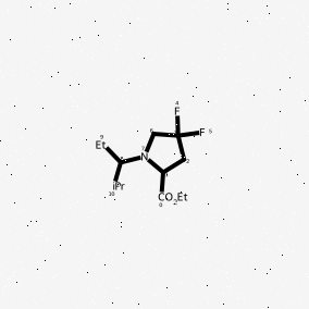 CCOC(=O)C1CC(F)(F)CN1C(CC)C(C)C